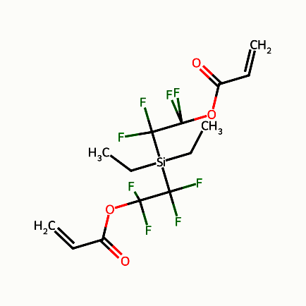 C=CC(=O)OC(F)(F)C(F)(F)[Si](CC)(CC)C(F)(F)C(F)(F)OC(=O)C=C